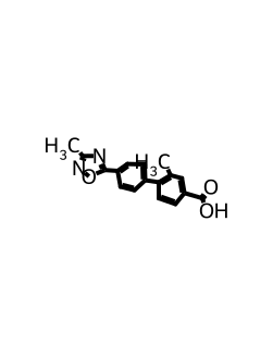 Cc1noc(-c2ccc(-c3ccc(C(=O)O)cc3C)cc2)n1